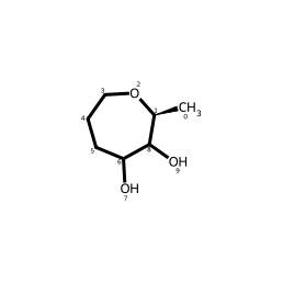 C[C@@H]1OCCCC(O)C1O